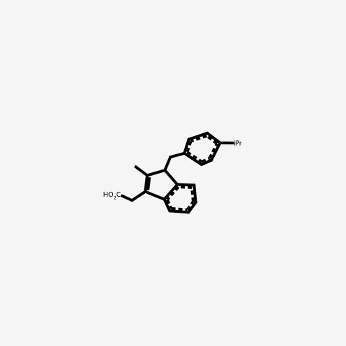 CC1=C(CC(=O)O)c2ccccc2C1Cc1ccc(C(C)C)cc1